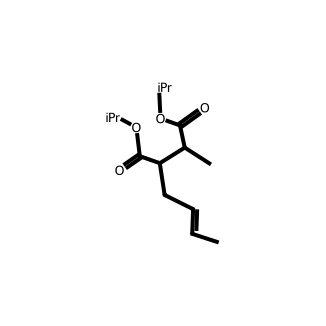 CC=CCC(C(=O)OC(C)C)C(C)C(=O)OC(C)C